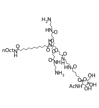 CCCCCCCCNC(=O)CCCCCCCCCCC(=O)NC(COCCC(=O)NCCCN)(COCCC(=O)NCCCN)COCCC(=O)NCCCNC(=O)CCCCO[C@@H]1OC(CO)[C@H](O)C(O)C1NC(C)=O